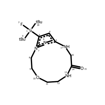 CC(C)(C)[Si](F)(c1cc2nn1CCOCCNC(=O)CN2)C(C)(C)C